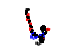 C#CCOCCOCCOCCOCCN1CC(N)(CNc2nc(N3CC[S+]([O-])c4ccccc4C3)nc3ccc(C)cc23)C1